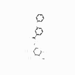 CO[C@@H]1[C@@H](O)[C@H](O)[C@@H](COC(=O)c2cccc(Oc3ccccc3)c2)O[C@H]1O